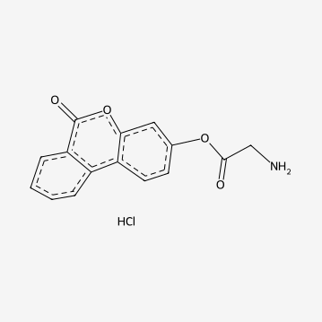 Cl.NCC(=O)Oc1ccc2c(c1)oc(=O)c1ccccc12